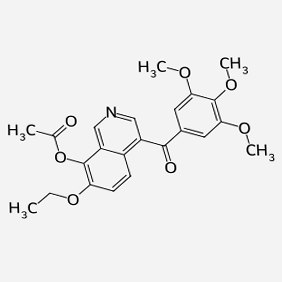 CCOc1ccc2c(C(=O)c3cc(OC)c(OC)c(OC)c3)cncc2c1OC(C)=O